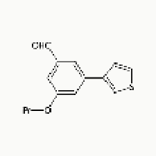 CC(C)Oc1cc(C=O)cc(-c2ccsc2)c1